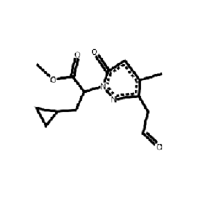 COC(=O)C(CC1CC1)n1nc(CC=O)c(C)cc1=O